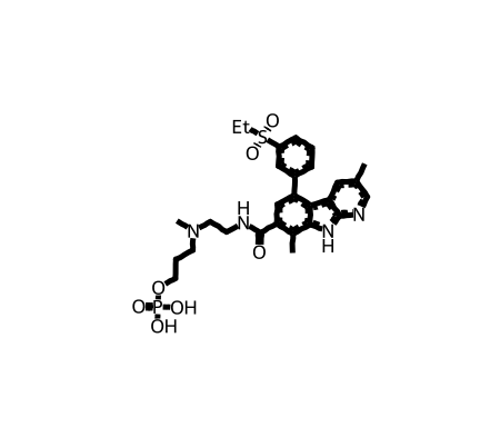 CCS(=O)(=O)c1cccc(-c2cc(C(=O)NCCN(C)CCCOP(=O)(O)O)c(C)c3[nH]c4ncc(C)cc4c23)c1